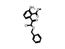 COC(=O)c1c(N)cccc1C(=O)C(Cl)OCc1ccccc1